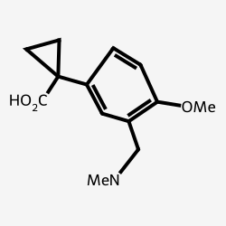 CNCc1cc(C2(C(=O)O)CC2)ccc1OC